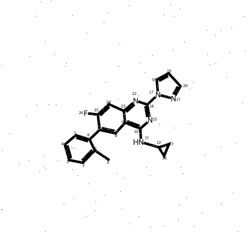 Cc1ccccc1-c1cc2c(NC3CC3)nc(-n3cccn3)nc2cc1F